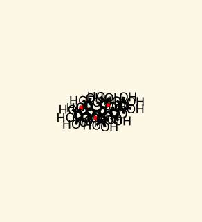 Oc1c(O)c(O)c(-c2c(O)c(O)c3c4c(oc5c(O)c(O)c(O)c6c(-c7c(O)c(O)c8oc9c(O)c(O)c(O)c(O)c9c8c7O)c7c(O)c(O)c(O)c(O)c7c3c56)c(O)c(O)c(O)c24)c(O)c1O